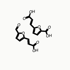 O=C(O)C=Cc1ccc(C(=O)O)o1.O=Cc1ccc(C=CC(=O)O)o1